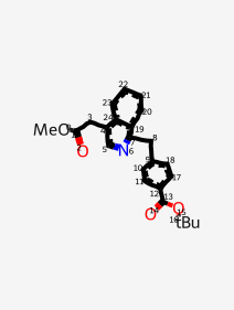 COC(=O)Cc1cnc(Cc2ccc(C(=O)OC(C)(C)C)cc2)c2ccccc12